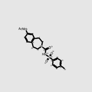 CC(=O)Nc1ccc2c(c1)CCN(C(=O)NS(=O)(=O)c1ccc(C)cc1)CC2